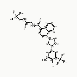 O=C(CNC(=O)c1ccc(C2=NOC(c3cc(Cl)c(F)c(C(F)(F)F)c3)C2)c2ccccc12)NCC(F)(F)F